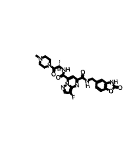 C[C@H](NC(=O)c1cc(C(=O)NCc2ccc3oc(=O)[nH]c3c2)nc2c(F)cnn12)C(=O)N1CCN(C)CC1